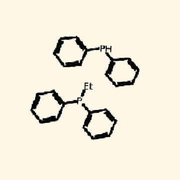 CCP(c1ccccc1)c1ccccc1.c1ccc(Pc2ccccc2)cc1